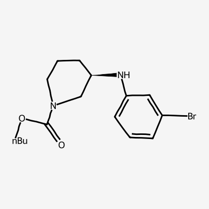 CCCCOC(=O)N1CCC[C@@H](Nc2cccc(Br)c2)C1